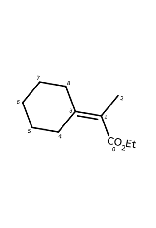 CCOC(=O)C(C)=C1CCCCC1